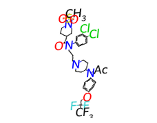 CC(=O)N(c1ccc(OCC(F)(F)C(F)(F)F)cc1)C1CCN(CCCN(C(=O)C2CCN(S(C)(=O)=O)CC2)c2ccc(Cl)c(Cl)c2)CC1